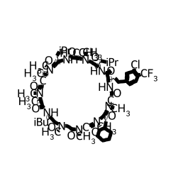 CCC(C)[C@@H]1NC(=O)[C@H](C)N(C)C(=O)C[C@@H](C)N(C)C(=O)[C@H](CC(C)C)NC(=O)C(C)(C)N(C)C(=O)[C@H](CC(C)C)NC(=O)[C@H](CCc2ccc(C(F)(F)F)c(Cl)c2)NC(=O)CN(C)C(=O)[C@H](CC2CCCCC2)N(C)C(=O)CN(C)C(=O)CN(C)C1=O